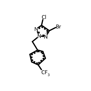 FC(F)(F)c1ccc(Cn2nc(Cl)c(Br)n2)cc1